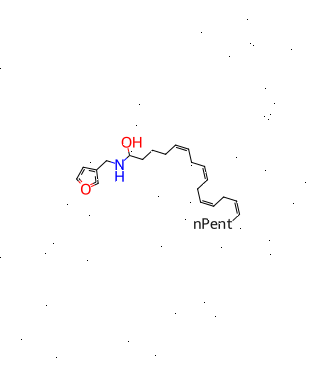 CCCCC/C=C\C/C=C\C/C=C\C/C=C\CCCC(O)NCc1ccoc1